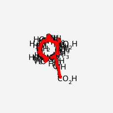 CCCC[C@H]1C(=O)N(C)[C@@H](CCCC)C(=O)N[C@@H](C)C(=O)N[C@H](C(=O)NCC(=O)NCC(=O)NCC(=O)NCCCCCCCCCCC(=O)O)CSCC(=O)N[C@@H](Cc2ccc(O)cc2)C(=O)N(C)[C@@H](C)C(=O)N[C@@H](CC(N)=O)C(=O)N2CCC[C@H]2C(=O)N[C@@H](CN)C(=O)N[C@@H](C)C(=O)N2C[C@H](O)C[C@@H]2C(=O)N[C@@H](Cc2c[nH]c3ccccc23)C(=O)N[C@@H](CCN)C(=O)N[C@@H](Cc2cn(CC(=O)O)c3ccccc23)C(=O)N1C